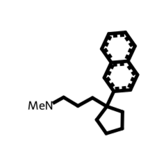 CNCCCC1(c2ccc3ccccc3c2)CCCC1